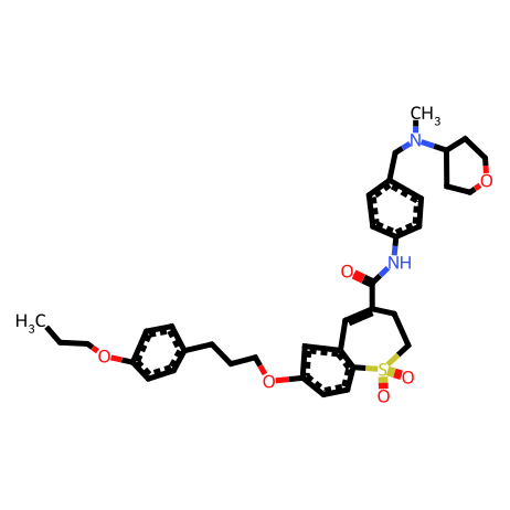 CCCOc1ccc(CCCOc2ccc3c(c2)C=C(C(=O)Nc2ccc(CN(C)C4CCOCC4)cc2)CCS3(=O)=O)cc1